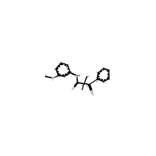 COc1cccc(NC(=O)C(C)(C)C(=O)c2ccccc2)c1